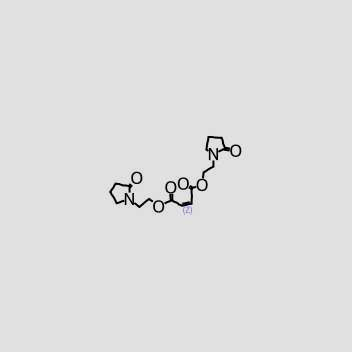 O=C(/C=C\C(=O)OCCN1CCCC1=O)OCCN1CCCC1=O